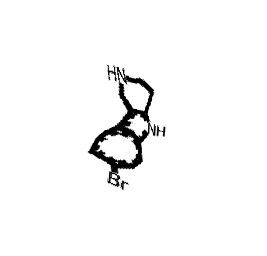 Brc1ccc2c3c([nH]c2c1)CCNC3